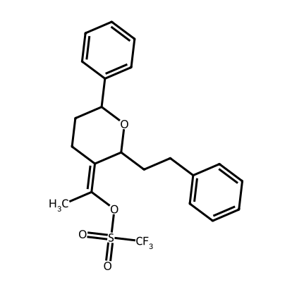 CC(OS(=O)(=O)C(F)(F)F)=C1CCC(c2ccccc2)OC1CCc1ccccc1